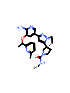 Cc1cccc(C(C)Oc2cc(-c3cc4n(n3)CC[C@@]43CCN(C(=O)NC(C)C)C3)cnc2N)n1